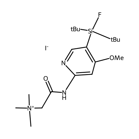 COc1cc(NC(=O)C[N+](C)(C)C)ncc1[Si](F)(C(C)(C)C)C(C)(C)C.[I-]